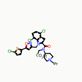 CCOC(=O)CN(C(=O)c1cc2c(Cl)ccc(Cl)c2n1Cc1cc(-c2ccc(Cl)s2)on1)C1CCN(C(C)C)CC1